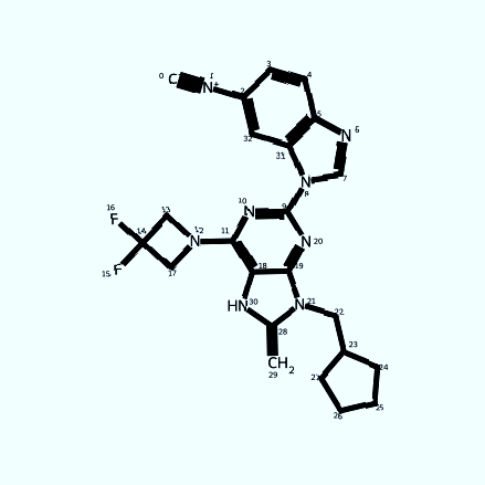 [C-]#[N+]c1ccc2ncn(-c3nc(N4CC(F)(F)C4)c4c(n3)N(CC3CCCC3)C(=C)N4)c2c1